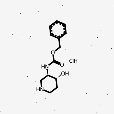 Cl.O=C(N[C@@H]1CNCC[C@H]1O)OCc1ccccc1